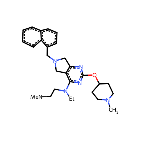 CCN(CCNC)c1nc(OC2CCN(C)CC2)nc2c1CN(Cc1cccc3ccccc13)C2